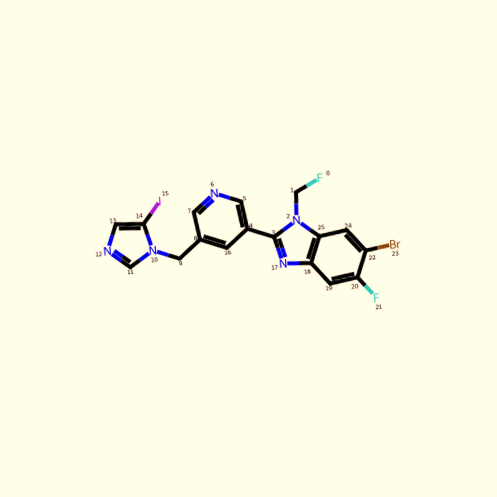 FCn1c(-c2cncc(Cn3cncc3I)c2)nc2cc(F)c(Br)cc21